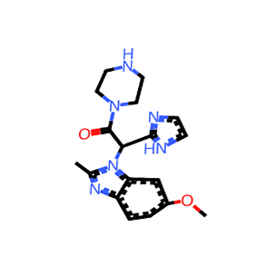 COc1ccc2nc(C)n(C(C(=O)N3CCNCC3)c3ncc[nH]3)c2c1